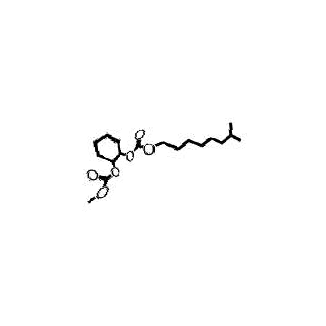 COC(=O)OC1CCCCC1OC(=O)OCCCCCCC(C)C